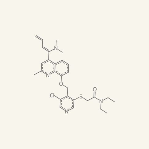 C=C/C=C(/c1cc(C)nc2c(OCc3c(Cl)cncc3SCC(=O)N(CC)CC)cccc12)N(C)C